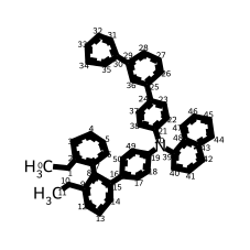 CCc1ccccc1-c1c(CC)cccc1-c1ccc(N(c2ccc(-c3cccc(-c4ccccc4)c3)cc2)c2cccc3ccccc23)cc1